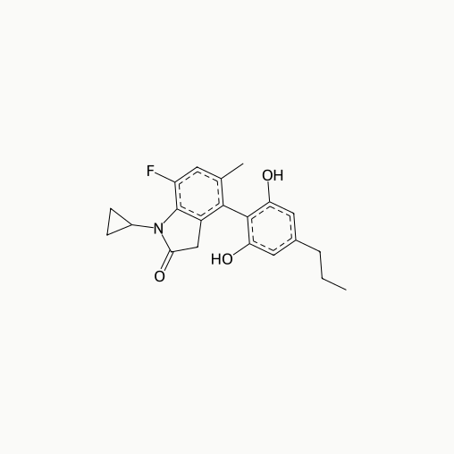 CCCc1cc(O)c(-c2c(C)cc(F)c3c2CC(=O)N3C2CC2)c(O)c1